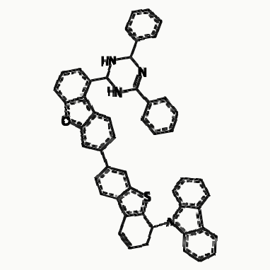 C1=Cc2c(sc3cc(-c4ccc5c(c4)oc4cccc(C6NC(c7ccccc7)=NC(c7ccccc7)N6)c45)ccc23)C(n2c3ccccc3c3ccccc32)C1